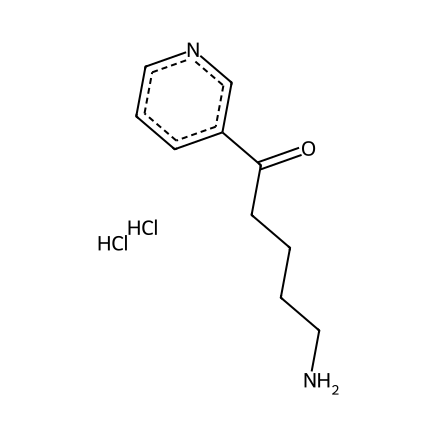 Cl.Cl.NCCCCC(=O)c1cccnc1